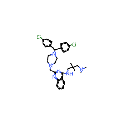 CN(C)CC(C)(C)CNc1nc(CN2CCN(C(c3ccc(Cl)cc3)c3ccc(Cl)cc3)CC2)nc2ccccc12